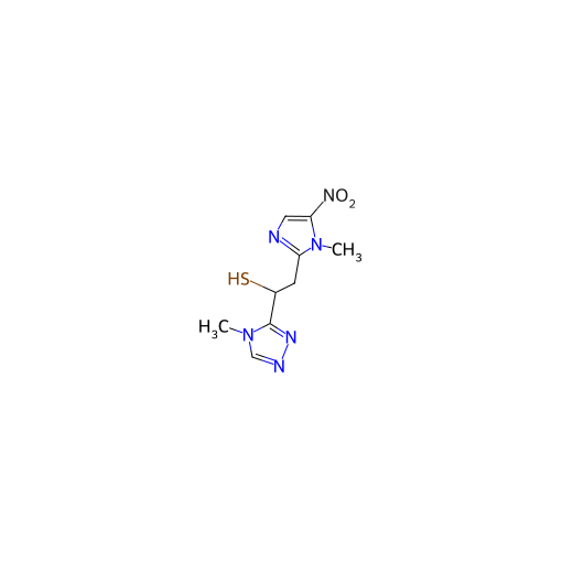 Cn1cnnc1C(S)Cc1ncc([N+](=O)[O-])n1C